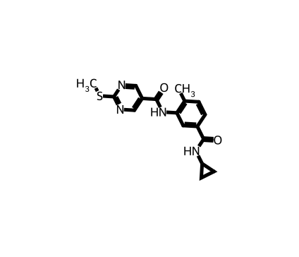 CSc1ncc(C(=O)Nc2cc(C(=O)NC3CC3)ccc2C)cn1